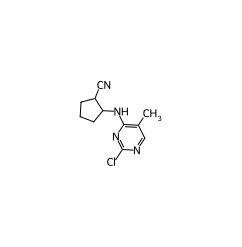 Cc1cnc(Cl)nc1NC1CCCC1C#N